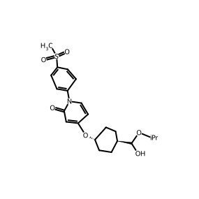 CC(C)OC(O)[C@H]1CC[C@H](Oc2ccn(-c3ccc(S(C)(=O)=O)cc3)c(=O)c2)CC1